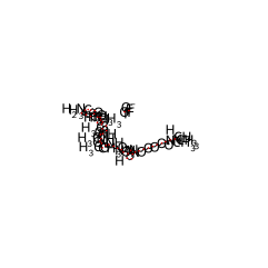 CC(C)[C@H](NC(=O)[C@H](N)CCCCNC(=O)COC1CCCCCc2c1nnn2CCOCCOCCOCCOCCC(=O)NCC[N+](C)(C)C)C(=O)N[C@@H](C)C(=O)Nc1ccc2c(c1)[C@@]1(C)CCC[C@](C)(C(=O)NC(=O)[C@@]3(C)CCC[C@]4(C)c5cc(N)ccc5CC[C@@H]34)[C@@H]1CC2.O=C([O-])C(F)(F)F